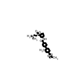 Cc1nc(-c2ccc(-c3ccc(C(=O)Nc4ccc5oc(=O)n(CCN(C)C)c5c4)cc3)c(C)c2)no1